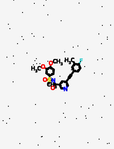 COc1ccc(S(C)(=O)=NC(=O)c2cncc(C#Cc3ccc(F)c(C)c3)c2)cc1OC